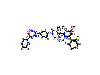 C[C@@H]1CN(c2ccc(C(=N)NC(=O)c3ccccn3)cc2)CCN1c1nc(-c2ccncc2F)cc(=O)n1C